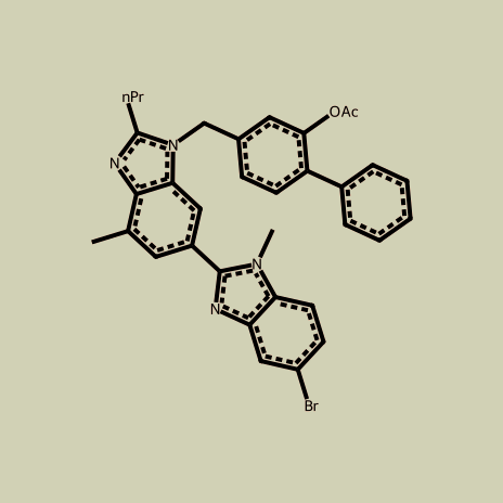 CCCc1nc2c(C)cc(-c3nc4cc(Br)ccc4n3C)cc2n1Cc1ccc(-c2ccccc2)c(OC(C)=O)c1